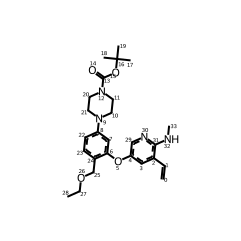 C=Cc1cc(Oc2cc(N3CCN(C(=O)OC(C)(C)C)CC3)ccc2COCC)cnc1NC